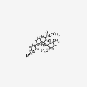 CCOC(=O)c1nc2ccc(-c3ccc(C#N)nc3)cc2c(Nc2cc(C)ccc2C)c1Cl